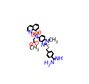 COC(=O)CN(c1ccc2c(c1)nc(SCc1ccc(C(=N)N)cc1)n2C)S(=O)(=O)c1cccc2cccnc12